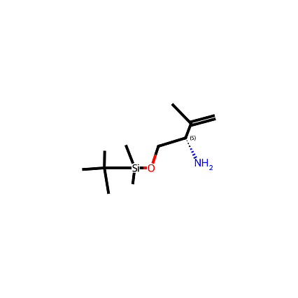 C=C(C)[C@H](N)CO[Si](C)(C)C(C)(C)C